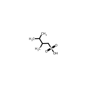 CC(C)C(C)CS(=O)(=O)O